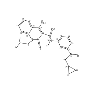 CC(C)Cn1c(=O)c(C(=O)N(C)c2cccc(N(C)CC3CC3)c2)c(O)c2ccccc21